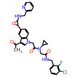 CC(=O)c1cn(CC(=O)N(CC(=O)NCc2cccc(Cl)c2F)C2CC2)c2ccc(C3OC3NCc3ccccn3)cc12